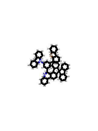 C1=CCC2C(=C1)c1c(ccc3c1c(-c1cc(-c4cccc5c4sc4ccccc45)cc(-n4c5ccccc5c5ccccc54)c1)nc1ccccc13)C21c2ccccc2-c2ccccc21